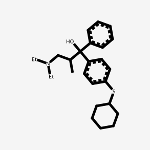 CCN(CC)CC(C)C(O)(c1ccccc1)c1ccc(SC2CCCCC2)cc1